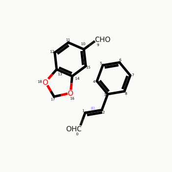 O=C/C=C/c1ccccc1.O=Cc1ccc2c(c1)OCO2